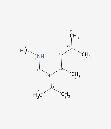 CNCC(C(C)C)C(C)CC(C)C